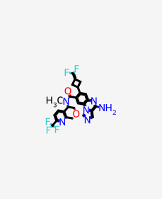 CN(C(=O)c1cc2c(cc1C1CC(=C(F)F)C1)nc(N)c1cncn12)C1COCc2nc(C(F)(F)F)ccc21